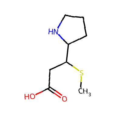 CSC(CC(=O)O)C1CCCN1